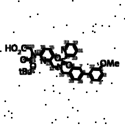 COc1cccc(-c2ccc(CN(Cc3cccc(N(CC(=O)O)C(=O)OC(C)(C)C)n3)S(=O)(=O)c3ccccn3)cc2)c1